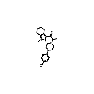 CC(C(=O)c1nn(C)c2c1CCCC2)N1CCN(c2ccc(Cl)cc2)CC1